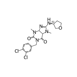 CN1C(=O)N(Cc2ccc(Cl)c(Cl)c2)C(=O)C2C1N=C(N[C@H]1CCOC1)N2C